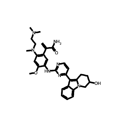 C=C(C(N)=O)c1cc(Nc2nccc(-c3c4n(c5ccccc35)CC(O)CC4)n2)c(OC)cc1N(C)CCN(C)C